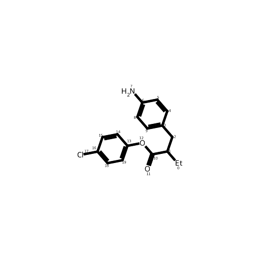 CCC(Cc1ccc(N)cc1)C(=O)Oc1ccc(Cl)cc1